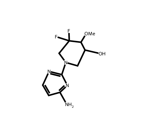 COC1C(O)CN(c2nccc(N)n2)CC1(F)F